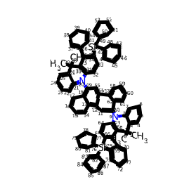 CC1(C)c2ccccc2N(c2cc3c4ccccc4c(N4c5ccccc5C(C)(C)c5c4ccc4c5-c5ccccc5[Si]4(c4ccccc4)c4ccccc4)cc3c3ccccc23)c2ccc3c(c21)-c1ccccc1[Si]3(c1ccccc1)c1ccccc1